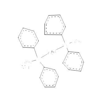 CCCC[B-](CCCC)(c1ccccc1)c1ccccc1.CCCC[B-](CCCC)(c1ccccc1)c1ccccc1.[Mg+2]